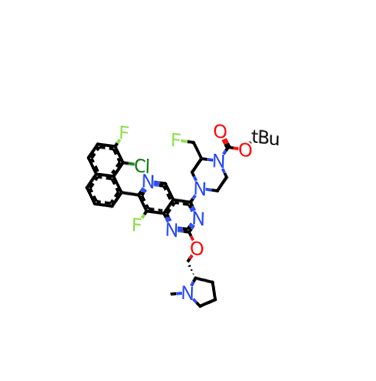 CN1CCC[C@H]1COc1nc(N2CCN(C(=O)OC(C)(C)C)C(CF)C2)c2cnc(-c3cccc4ccc(F)c(Cl)c34)c(F)c2n1